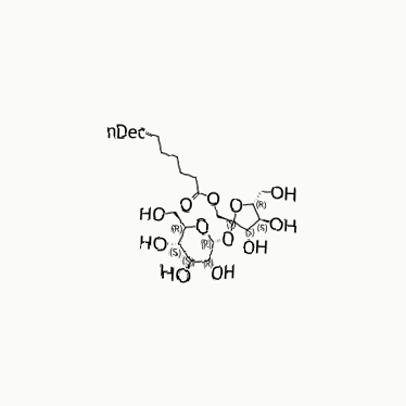 CCCCCCCCCCCCCCCC(=O)OC[C@@]1(O[C@H]2O[C@H](CO)[C@@H](O)[C@H](O)[C@H]2O)O[C@H](CO)[C@@H](O)[C@@H]1O